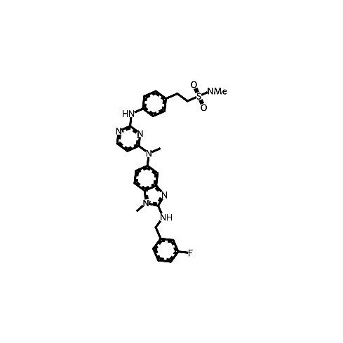 CNS(=O)(=O)CCc1ccc(Nc2nccc(N(C)c3ccc4c(c3)nc(NCc3cccc(F)c3)n4C)n2)cc1